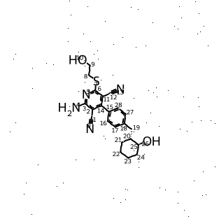 N#Cc1c(N)nc(SCCO)c(C#N)c1-c1ccc(C[C@H]2CCCC[C@@H]2O)cc1